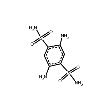 Nc1cc(S(N)(=O)=O)c(N)cc1S(N)(=O)=O